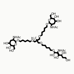 CC(=O)N/C(=C(/O)[C@@H](O)CCO)[C@@H](O)OCCCCCOCC(C)(COCCCCCO[C@@H]1OC(CO)[C@H](O)C(O)CC1NC(C)=O)COCCCCCO[C@@H]1OC(CO)[C@H](O)C(O)CC1NC(C)=O